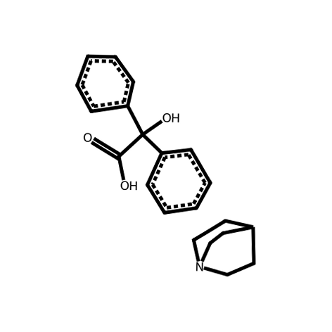 C1CN2CCC1CC2.O=C(O)C(O)(c1ccccc1)c1ccccc1